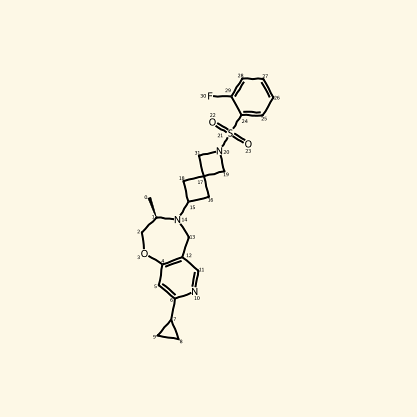 C[C@@H]1COc2cc(C3CC3)ncc2CN1C1CC2(C1)CN(S(=O)(=O)c1ccccc1F)C2